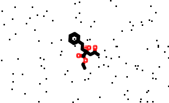 CCOC(=O)C(O)(CCc1ccccc1)CC(C)=O